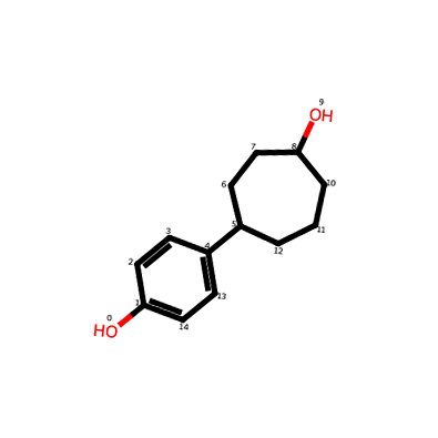 Oc1ccc(C2[CH]CC(O)CCC2)cc1